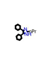 CCCc1nc(-c2ccccc2)c(-c2ccccc2)[nH]1